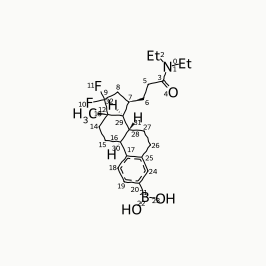 CCN(CC)C(=O)CC[C@@H]1CC(F)(F)[C@@]2(C)CC[C@@H]3c4ccc(B(O)O)cc4CC[C@H]3[C@H]12